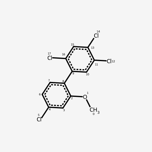 COc1cc(Cl)ccc1-c1cc(Cl)c(Cl)cc1Cl